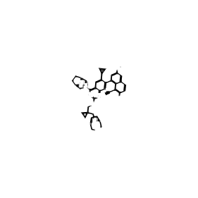 C#Cc1c(F)ccc2cc(O)cc(-c3c(C4CC4)cc4c(N5CC6CCC(C5)N6)nc(OCC5(CN6C7CCC6COC7)CC5)nc4c3F)c12